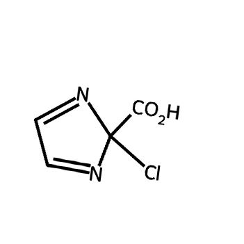 O=C(O)C1(Cl)N=CC=N1